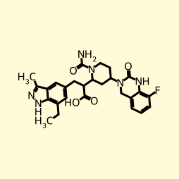 CCc1cc(CC(C(=O)O)C2CC(N3Cc4cccc(F)c4NC3=O)CCN2C(N)=O)cc2c(C)n[nH]c12